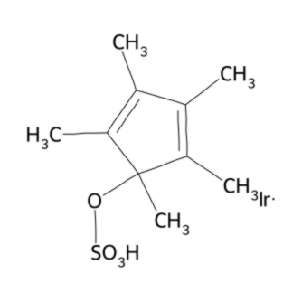 CC1=C(C)C(C)(OS(=O)(=O)O)C(C)=C1C.[Ir]